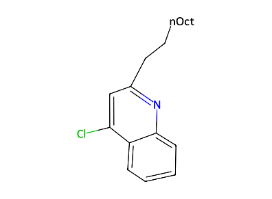 CCCCCCCCCCc1cc(Cl)c2ccccc2n1